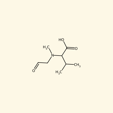 CC(C)C(C(=O)O)N(C)CC=O